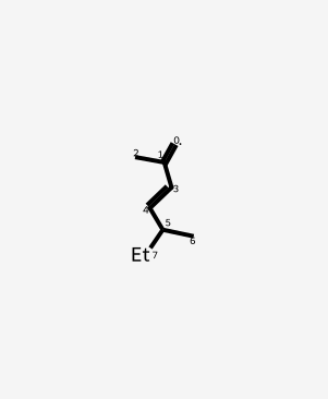 [CH]=C(C)C=CC(C)CC